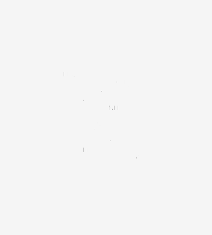 CCC(C)(C)N[SiH2]C(C)(C)CC